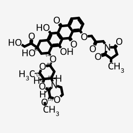 CO[C@H]1OCCN2[C@@H]1O[C@@H]1[C@H](C)O[C@@H](O[C@H]3C[C@](O)(C(=O)CO)Cc4c(O)c5c(c(O)c43)C(=O)c3c(OCC(=O)CN4C(=O)CC(C)C4=O)cccc3C5=O)C[C@@H]12